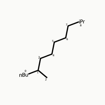 CCCCC(C)[CH]CCCCC(C)C